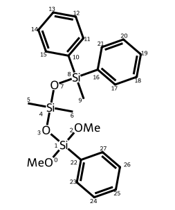 CO[Si](OC)(O[Si](C)(C)O[Si](C)(c1ccccc1)c1ccccc1)c1ccccc1